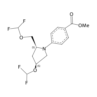 COC(=O)c1ccc(N2C[C@@H](OC(F)F)C[C@H]2COC(F)F)cc1